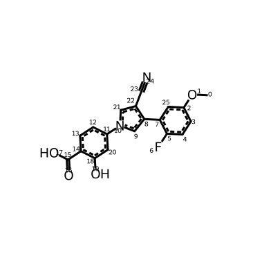 COc1ccc(F)c(-c2cn(-c3ccc(C(=O)O)c(O)c3)cc2C#N)c1